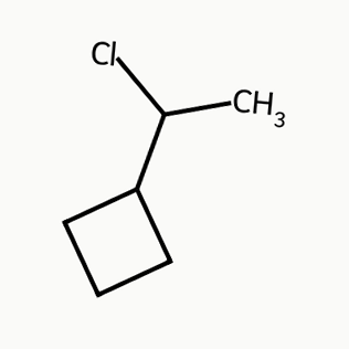 CC(Cl)C1CCC1